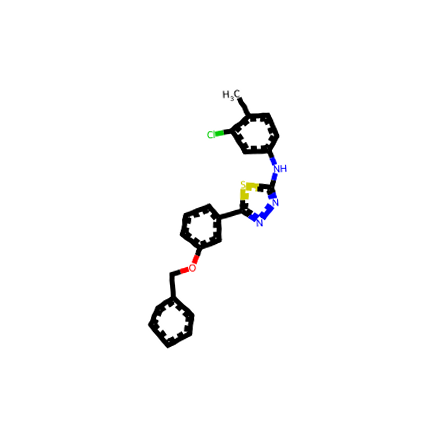 Cc1ccc(Nc2nnc(-c3cccc(OCc4ccccc4)c3)s2)cc1Cl